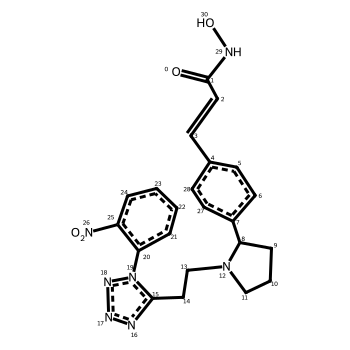 O=C(/C=C/c1ccc(C2CCCN2CCc2nnnn2-c2ccccc2[N+](=O)[O-])cc1)NO